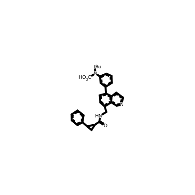 CC(C)(C)N(C(=O)O)c1cccc(-c2ccc(CNC(=O)C3CC3c3ccccc3)c3cnccc23)c1